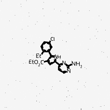 CCOC(=O)c1cc(-c2ccnc(N)n2)[nH]c1-c1cc(Cl)ccc1CC